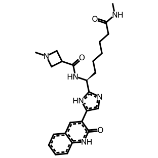 CNC(=O)CCCCC[C@H](NC(=O)C1CN(C)C1)c1ncc(-c2cc3ccccc3[nH]c2=O)[nH]1